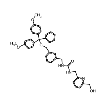 COc1ccc(C(OCc2cccc(CNC(=O)NCc3cccc(CO)n3)c2)(c2ccccc2)c2ccc(OC)cc2)cc1